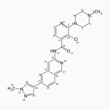 CN1CCN(c2nccc(C(=O)Nc3cc4cc(-c5cnn(C)c5)ccc4cn3)c2Cl)CC1